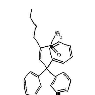 CCCC/C(=C/C(c1ccccc1)(c1ccccc1)c1ccccc1)C(N)=O